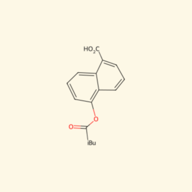 CCC(C)C(=O)Oc1cccc2c(C(=O)O)cccc12